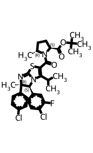 CC(C)C1=C(C(=O)N2[C@H](C)CC[C@H]2C(=O)OC(C)(C)C)SC2=N[C@](C)(c3ccc(Cl)cc3)[C@H](c3ccc(Cl)c(F)c3)N21